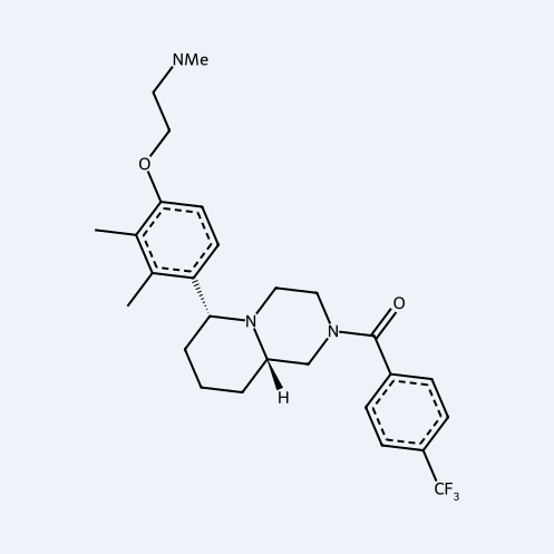 CNCCOc1ccc([C@H]2CCC[C@H]3CN(C(=O)c4ccc(C(F)(F)F)cc4)CCN32)c(C)c1C